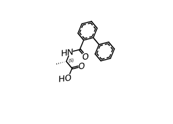 C[C@H](NC(=O)c1ccccc1-c1ccccc1)C(=O)O